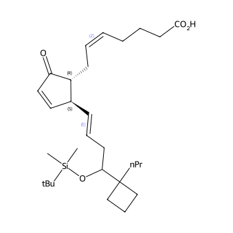 CCCC1(C(C/C=C/[C@H]2C=CC(=O)[C@@H]2C/C=C\CCCC(=O)O)O[Si](C)(C)C(C)(C)C)CCC1